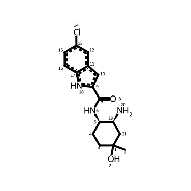 CC1(O)CC[C@@H](NC(=O)c2cc3cc(Cl)ccc3[nH]2)[C@@H](N)C1